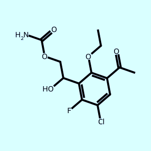 CCOc1c(C(C)=O)cc(Cl)c(F)c1C(O)COC(N)=O